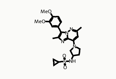 COc1ccc(-c2c(C)nc3c(N4CCC(NS(=O)(=O)C5CC5)C4)cc(C)nn23)cc1OC